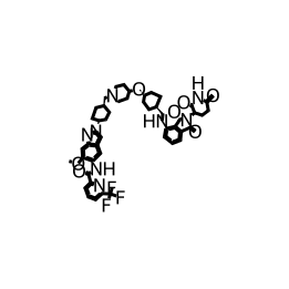 COc1cc2nn([C@H]3CC[C@H](CN4CCC(O[C@H]5CC[C@H](CNc6cccc7c6C(=O)N(C6CCC(=O)NC6=O)C7=O)CC5)CC4)CC3)cc2cc1NC(=O)c1cccc(C(F)(F)F)n1